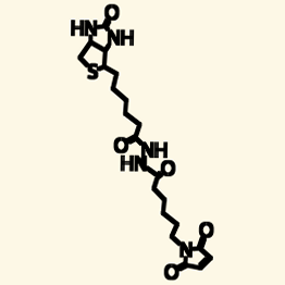 O=C(CCCCCC1SCC2NC(=O)NC21)NNC(=O)CCCCCN1C(=O)C=CC1=O